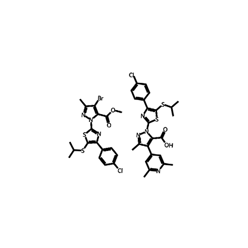 COC(=O)c1c(Br)c(C)nn1-c1nc(-c2ccc(Cl)cc2)c(SC(C)C)s1.Cc1cc(-c2c(C)nn(-c3nc(-c4ccc(Cl)cc4)c(SC(C)C)s3)c2C(=O)O)cc(C)n1